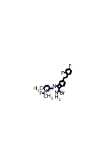 CC\C=C/C(/C=N/C1/C(=C(\N)Br)c2ccc(CCc3ccc(F)cc3F)cc21)=C\N=C(/C)F